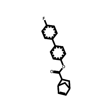 O=C(Oc1ccc(-c2ccc(F)cc2)cc1)C1CC2C=CC1C2